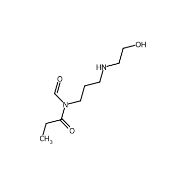 CCC(=O)N(C=O)CCCNCCO